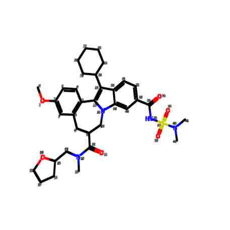 COc1ccc2c(c1)CC(C(=O)N(C)CC1CCCO1)Cn1c-2c(C2CCCCC2)c2ccc(C(=O)NS(=O)(=O)N(C)C)cc21